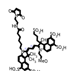 COCC[N+]1=C(/C=C/C=C2/N(CCCCCC(=O)NCCN3C(=O)C=CC3=O)c3ccc4c(S(=O)(=O)O)cc(S(=O)(=O)O)cc4c3C2(C)C)C(C)(CCCS(=O)(=O)O)c2c1ccc1c(S(=O)(=O)O)cc(S(=O)(=O)O)cc21